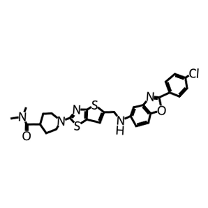 CN(C)C(=O)C1CCN(c2nc3sc(CNc4ccc5oc(-c6ccc(Cl)cc6)nc5c4)cc3s2)CC1